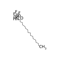 CCCCCCCCCCCCCCCCC(=O)NS(=O)(=O)C(F)(F)F